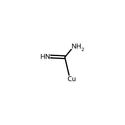 N=[C](N)[Cu]